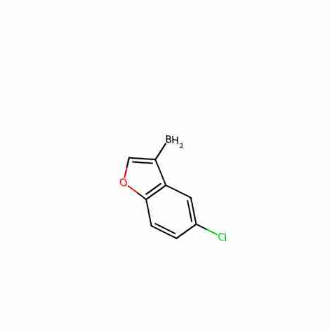 Bc1coc2ccc(Cl)cc12